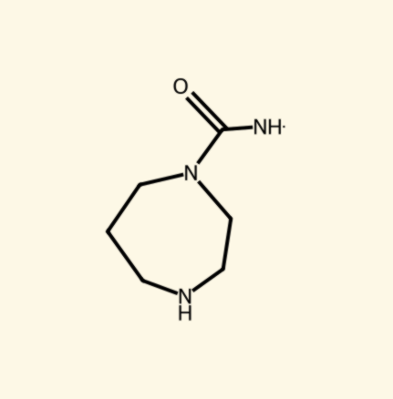 [NH]C(=O)N1CCCNCC1